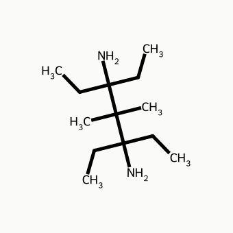 CCC(N)(CC)C(C)(C)C(N)(CC)CC